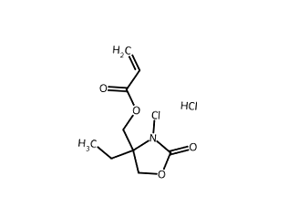 C=CC(=O)OCC1(CC)COC(=O)N1Cl.Cl